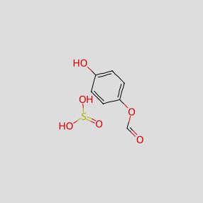 O=COc1ccc(O)cc1.O=S(O)O